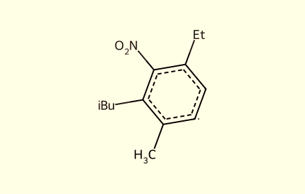 CCc1c[c]c(C)c(C(C)CC)c1[N+](=O)[O-]